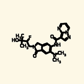 CN(C)c1cc2c(cc1NC(=O)c1cnn3cccnc13)CN(CC(F)C(C)(C)O)C2=O